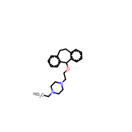 O=C(O)CN1CCN(CCOC2c3ccccc3CCc3ccccc32)CC1